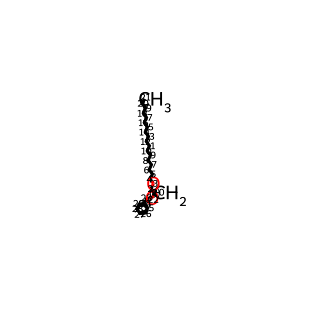 [CH2][C@H](COCCCCCCCCCCCCCCCCCC)OCc1ccccc1